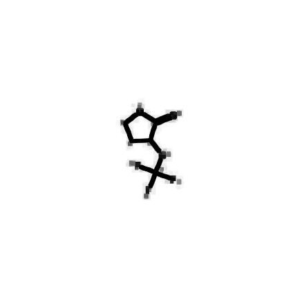 O=C1O[CH]CC1OC(F)(F)F